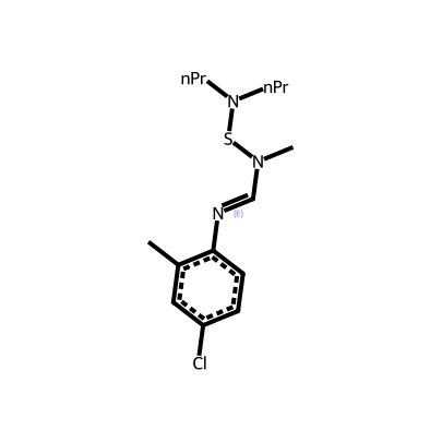 CCCN(CCC)SN(C)/C=N/c1ccc(Cl)cc1C